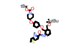 Cn1c(C(=O)Nc2cccc(CO[Si](C)(C)C(C)(C)C)c2COc2ccc(OC3CCN(C(=O)OC(C)(C)C)CC3)cc2)cc2sccc21